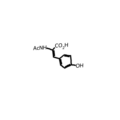 CC(=O)N/C(=C/c1ccc(O)cc1)C(=O)O